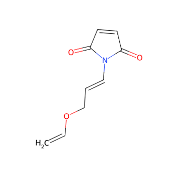 C=COCC=CN1C(=O)C=CC1=O